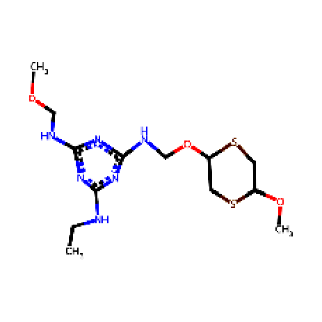 CCNc1nc(NCOC)nc(NCOC2CSC(OC)CS2)n1